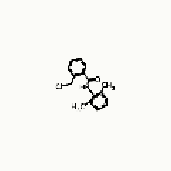 Cc1cccc(C)c1NC(=O)c1ccccc1CCl